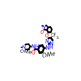 COc1cc(C(=O)N[C@@H]2CCN(C)C[C@H]2OC)ccc1Nc1ncc(C(F)(F)F)c(Oc2cccc3c2C(=O)N(C)C3)n1